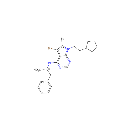 CCc1c(Br)c2c(N[C@H](Cc3ccccc3)C(=O)O)ncnc2n1CCC1CCCC1